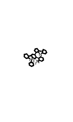 O=[N+]([O-])c1cccc2c1-c1cc3c(cc1-c1cccc4c5ccccc5n-2c14)c1ccccc1n3-c1ccccc1